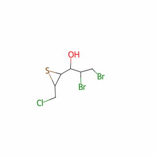 OC(C(Br)CBr)C1SC1CCl